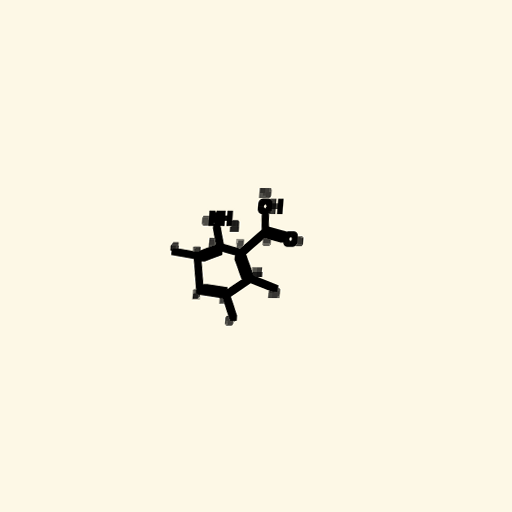 Cc1cc(C)c(N)c(C(=O)O)c1C